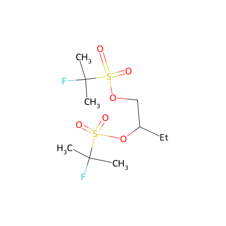 CCC(COS(=O)(=O)C(C)(C)F)OS(=O)(=O)C(C)(C)F